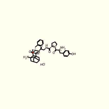 COC(=O)C12CC3CC(CC(N)(C3)C1C(=O)[C@H](Cc1ccccc1)NC(=O)CNC(=O)[C@H]1CCCN1C(=O)[C@@H](N)Cc1ccc(O)cc1)C2.Cl